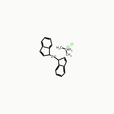 C1=C[CH]([Zr+2][CH]2C=Cc3ccccc32)c2ccccc21.[CH3][GeH2][CH3].[Cl-].[Cl-]